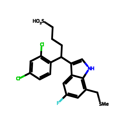 CSCc1cc(F)cc2c(C(CCCS(=O)(=O)O)c3ccc(Cl)cc3Cl)c[nH]c12